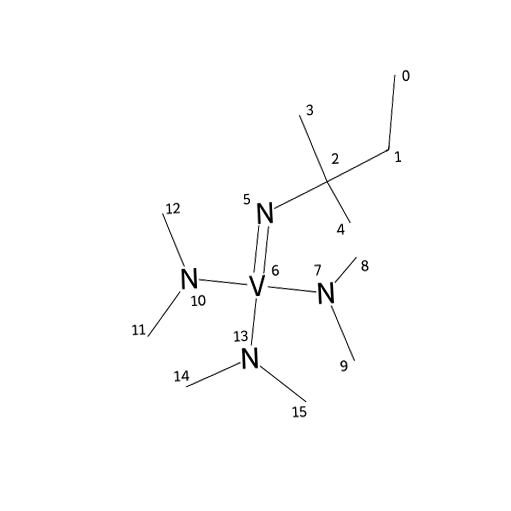 CCC(C)(C)[N]=[V]([N](C)C)([N](C)C)[N](C)C